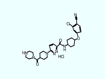 Cl.N#Cc1ccc(OC2CCC(NC(=O)c3ccc(N4CCC(C(=O)N5CCNCC5)CC4)nn3)CC2)cc1Cl